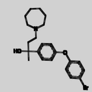 CC(O)(CCN1CCCCCC1)c1ccc(Oc2ccc(Br)cc2)cc1